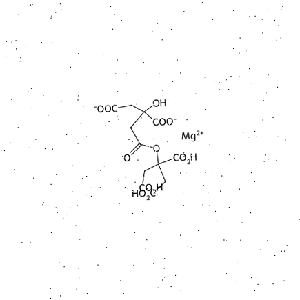 O=C([O-])CC(O)(CC(=O)OC(CC(=O)O)(CC(=O)O)C(=O)O)C(=O)[O-].[Mg+2]